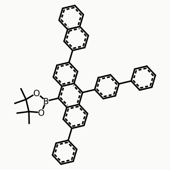 CC1(C)OB(c2c3cc(-c4ccccc4)ccc3c(-c3ccc(-c4ccccc4)cc3)c3cc(-c4ccc5ccccc5c4)ccc23)OC1(C)C